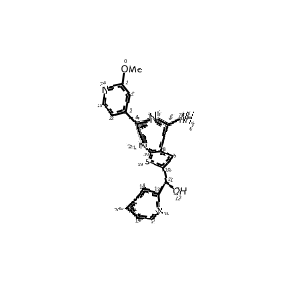 COc1cc(-c2nc(N)c3cc(C(O)c4ccccn4)sc3n2)ccn1